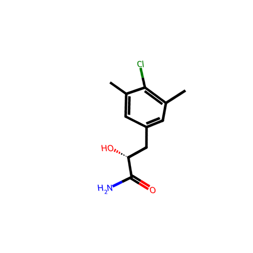 Cc1cc(C[C@@H](O)C(N)=O)cc(C)c1Cl